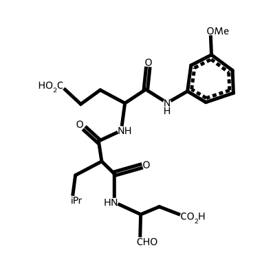 COc1cccc(NC(=O)C(CCC(=O)O)NC(=O)C(CC(C)C)C(=O)NC(C=O)CC(=O)O)c1